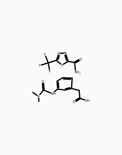 CN(C)C(=O)Nc1cccc(CC(=O)O)c1.NC(=O)c1nnc(C(F)(F)F)s1